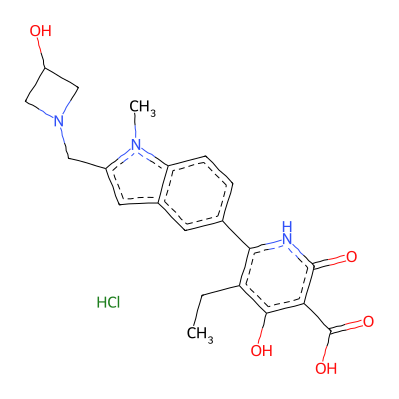 CCc1c(-c2ccc3c(c2)cc(CN2CC(O)C2)n3C)[nH]c(=O)c(C(=O)O)c1O.Cl